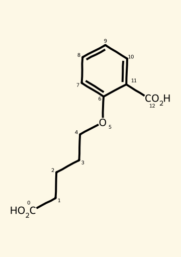 O=C(O)CCCCOc1ccccc1C(=O)O